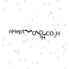 [3H]C(OCCOCCCCCCCCCC)C(=O)O